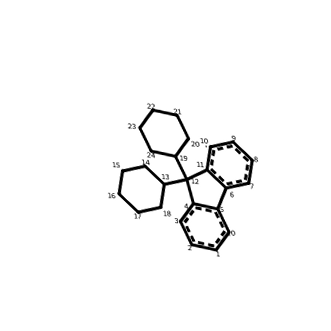 [c]1cccc2c1-c1ccc[c]c1C2(C1CCCCC1)C1CCCCC1